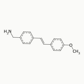 COc1ccc(C=Cc2ccc(CN)cc2)cc1